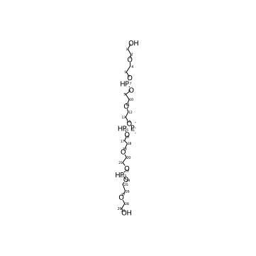 OCCOCCOPOCCOCCOPOCCOCCOPOCCOCCO.[P]